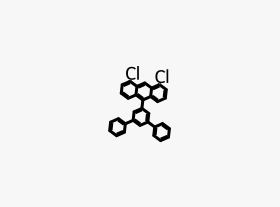 Clc1cccc2c(-c3cc(-c4ccccc4)cc(-c4ccccc4)c3)c3cccc(Cl)c3cc12